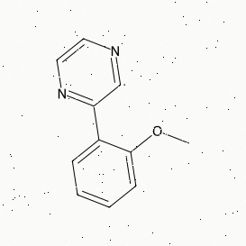 COc1ccccc1-c1[c]nccn1